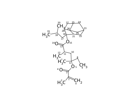 C=C(C)C(=O)OC(C)(CC)CC(C)C(=O)OC1(CC(C)C)C2CC3CC(C2)CC1C3